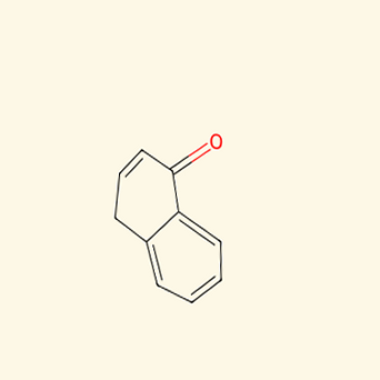 O=C1C=CCc2ccccc21